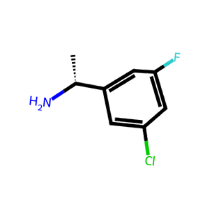 C[C@@H](N)c1cc(F)cc(Cl)c1